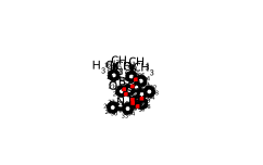 CC(C)(C)c1ccc2c(c1)B1c3cc(C(C)(C)C)ccc3Oc3cc(-n4c5ccccc5c5ccc6c7ccccc7n(-c7cccc8c7C7(c9ccccc9-c9ccccc97)c7ccccc7-8)c6c54)cc(c31)O2